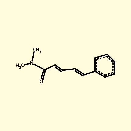 CN(C)C(=O)C=CC=Cc1ccccc1